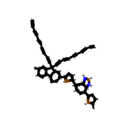 C#CC#CC#CC#CC#CC1(C#CC#CC#CC#CC#C)c2cc(C)ccc2-c2ccc(-c3ccc(-c4ccc(-c5ccc(C)s5)c5nsnc45)s3)cc21